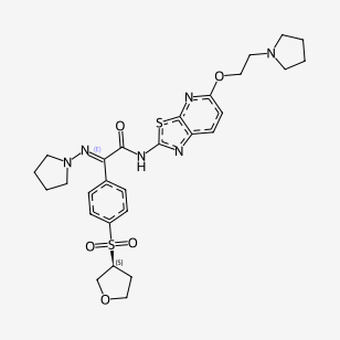 O=C(Nc1nc2ccc(OCCN3CCCC3)nc2s1)/C(=N/N1CCCC1)c1ccc(S(=O)(=O)[C@H]2CCOC2)cc1